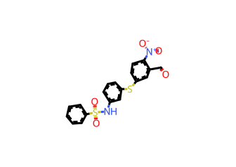 O=Cc1cc(Sc2cccc(NS(=O)(=O)c3ccccc3)c2)ccc1[N+](=O)[O-]